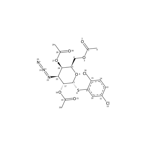 CC(=O)OC[C@H]1O[C@H](Sc2cc(Cl)ccc2Cl)[C@H](OC(C)=O)[C@@H](N=[N+]=[N-])[C@H]1OC(C)=O